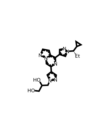 CC[C@@H](C1CC1)n1cc(-c2nc(-c3cnn(CC(O)CO)c3)cn3nccc23)cn1